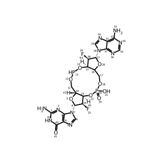 Nc1nc2c(ncn2[C@@H]2O[C@@H]3COPO[C@@H]4C(COP(=O)(O)O[C@H]3[C@H]2F)O[C@@H](n2cnc3c(N)ncnc32)[C@@H]4F)c(=O)[nH]1